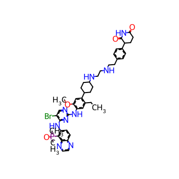 CCc1cc(Nc2ncc(Br)c(Nc3ccc4nccnc4c3P(C)(C)=O)n2)c(OC)cc1C1CCC(NCCNCCc2ccc(C3CCC(=O)NC3=O)cc2)CC1